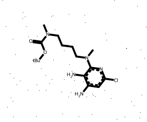 CN(CCCCN(C)c1nc(Cl)cc(N)c1N)C(=O)OC(C)(C)C